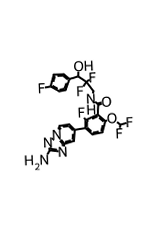 Nc1nc2cc(-c3ccc(OC(F)F)c(C(=O)NCC(F)(F)C(O)c4ccc(F)cc4)c3F)ccn2n1